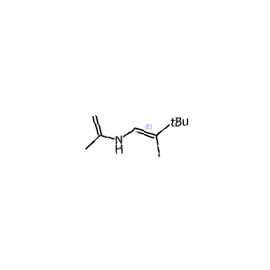 C=C(C)N/C=C(\C)C(C)(C)C